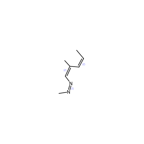 C\C=C/C(C)=C\N=N/C